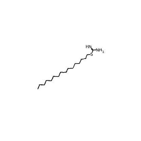 CCCCCCCCCCCCCCCCSC(=N)N